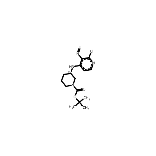 CC(C)(C)OC(=O)N1CCC[C@@H](Nc2ccnc(Cl)c2N=O)C1